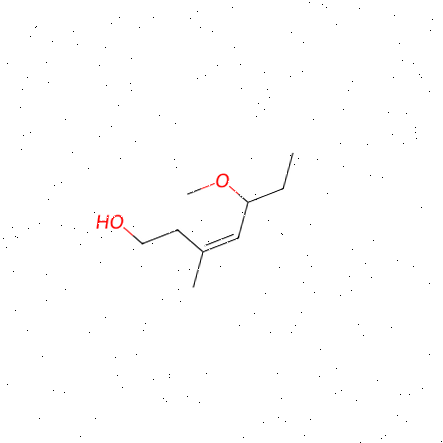 CCC(C=C(C)CCO)OC